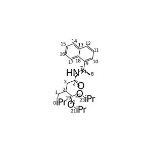 CC(C)CC(CC(=O)N[C@H](C)c1cccc2ccccc12)C(OC(C)C)OC(C)C